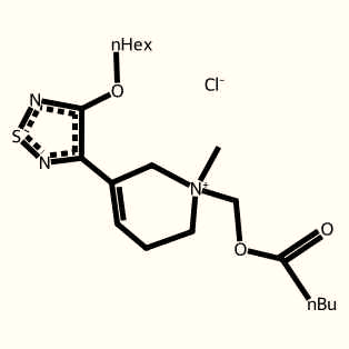 CCCCCCOc1nsnc1C1=CCC[N+](C)(COC(=O)CCCC)C1.[Cl-]